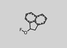 FOC1Cc2cccc3cccc1c23